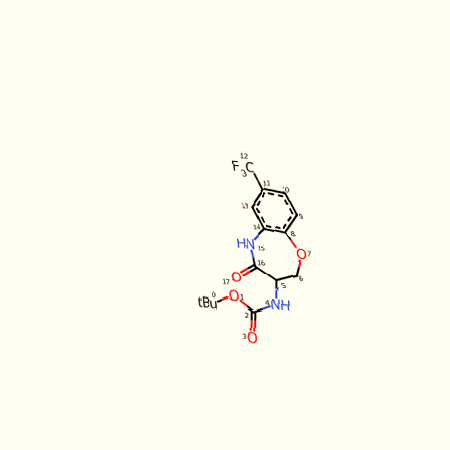 CC(C)(C)OC(=O)NC1COc2ccc(C(F)(F)F)cc2NC1=O